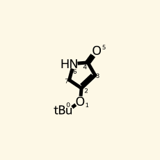 CC(C)(C)OC1=CC(=O)NC1